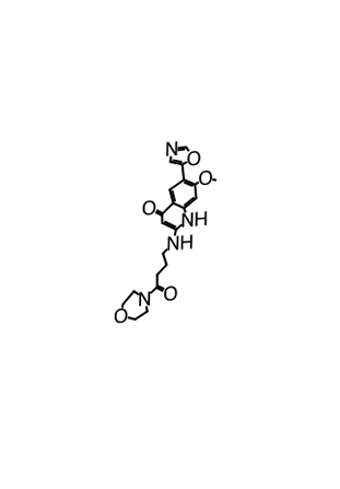 COc1cc2[nH]c(NCCCC(=O)N3CCOCC3)cc(=O)c2cc1-c1cnco1